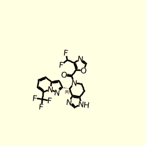 O=C(c1ocnc1C(F)F)N1CCc2[nH]cnc2[C@@H]1c1cc2cccc(C(F)(F)F)n2n1